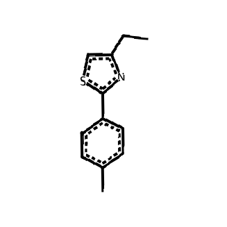 CCc1csc(-c2ccc(C)cc2)n1